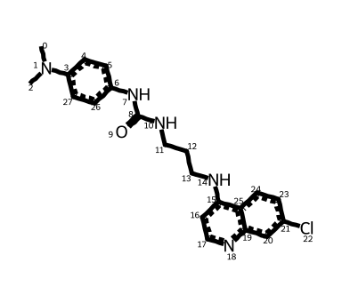 CN(C)c1ccc(NC(=O)NCCCNc2ccnc3cc(Cl)ccc23)cc1